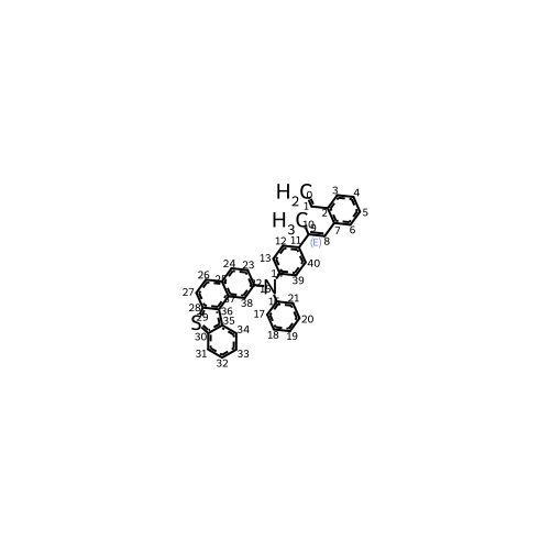 C=Cc1ccccc1/C=C(\C)c1ccc(N(c2ccccc2)c2ccc3ccc4sc5ccccc5c4c3c2)cc1